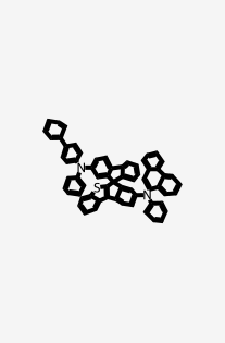 c1ccc(-c2ccc(N(c3ccccc3)c3ccc4c(c3)C3(c5ccccc5-4)c4cc(N(c5ccccc5)c5cc6ccccc6c6ccccc56)ccc4-c4c3sc3ccccc43)cc2)cc1